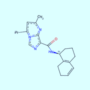 Cc1cc(C(C)C)n2cnc(C(=O)N[C@H]3CCCC4=C3CCC=C4)c2n1